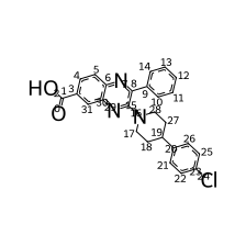 O=C(O)c1ccc2nc(-c3ccccc3)c(N3CCC(c4ccc(Cl)cc4)CC3)nc2c1